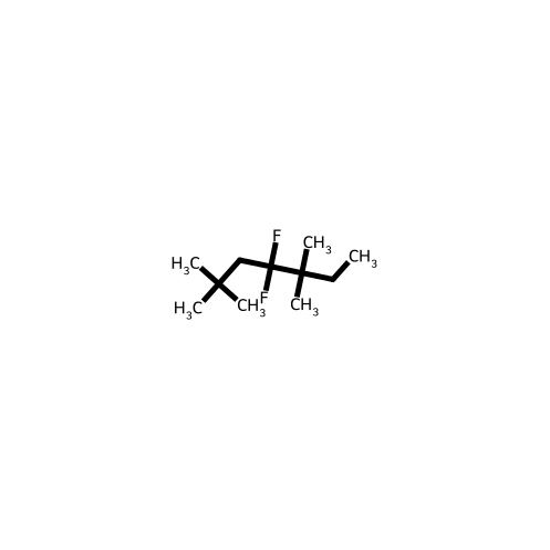 CCC(C)(C)C(F)(F)CC(C)(C)C